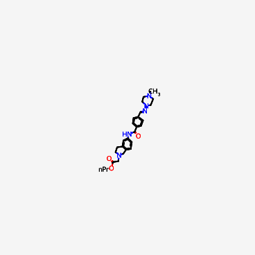 CCCOC(=O)CN1CCc2cc(NC(=O)c3ccc(/C=N/N4CCN(C)CC4)cc3)ccc2C1